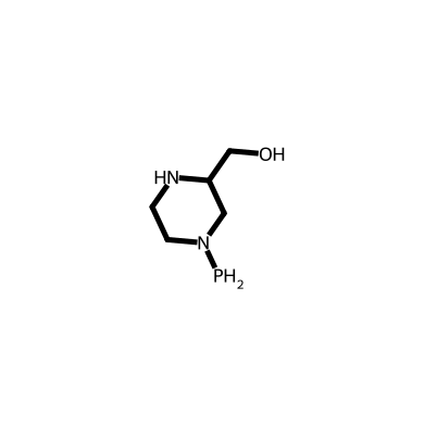 OCC1CN(P)CCN1